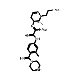 CNC(=NC1CC=NN(CCOC)[C@@H]1C)C(=N)Nc1ccc(C(=N)N2CCNCC2)c(C)c1